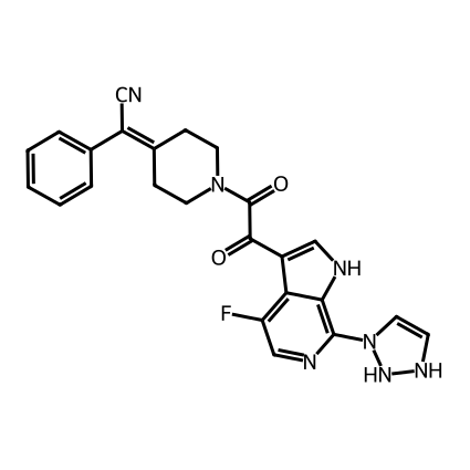 N#CC(=C1CCN(C(=O)C(=O)c2c[nH]c3c(N4C=CNN4)ncc(F)c23)CC1)c1ccccc1